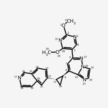 COc1ncc(-c2cc([C@H]3C[C@@H]3c3ccc4cnccc4c3)c3nccn3n2)c(OC)n1